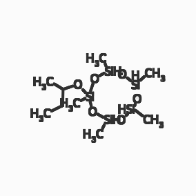 CCC(C)O[Si]1(C)O[SiH](C)O[SiH](C)O[SiH](C)O[SiH](C)O1